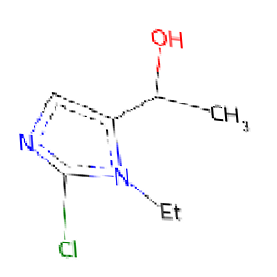 CCn1c(C(C)O)cnc1Cl